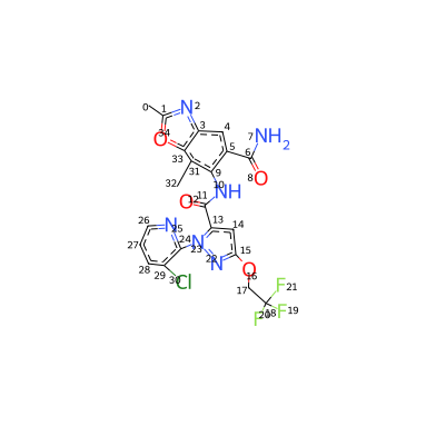 Cc1nc2cc(C(N)=O)c(NC(=O)c3cc(OCC(F)(F)F)nn3-c3ncccc3Cl)c(C)c2o1